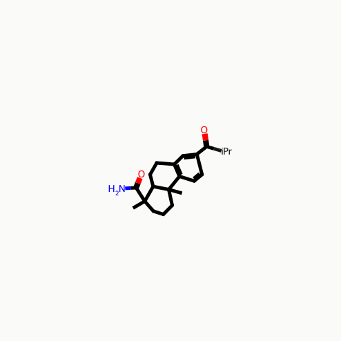 CC(C)C(=O)c1ccc2c(c1)CCC1C(C)(C(N)=O)CCCC21C